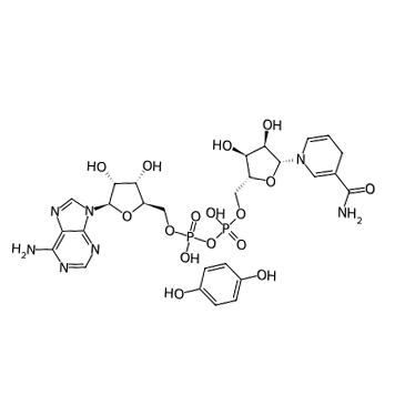 NC(=O)C1=CN([C@@H]2O[C@H](COP(=O)(O)OP(=O)(O)OC[C@H]3O[C@@H](n4cnc5c(N)ncnc54)[C@H](O)[C@@H]3O)[C@@H](O)[C@H]2O)C=CC1.Oc1ccc(O)cc1